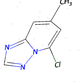 Cc1cc(Cl)n2ncnc2c1